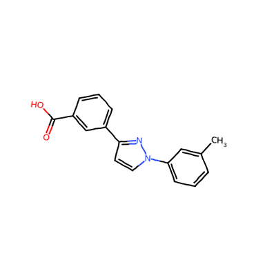 Cc1cccc(-n2ccc(-c3cccc(C(=O)O)c3)n2)c1